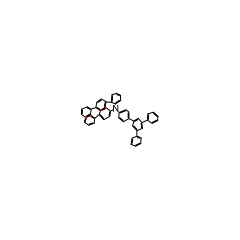 c1ccc(-c2ccc(-c3ccccc3N(c3ccc(-c4ccccc4)cc3)c3ccc(-c4cc(-c5ccccc5)cc(-c5ccccc5)c4)cc3)cc2)cc1